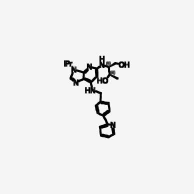 CC(C)n1cnc2c(NCc3ccc(-c4ccccn4)cc3)cc(N[C@@H](CO)[C@@H](C)O)nc21